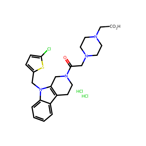 Cl.Cl.O=C(O)CN1CCN(CC(=O)N2CCc3c(n(Cc4ccc(Cl)s4)c4ccccc34)C2)CC1